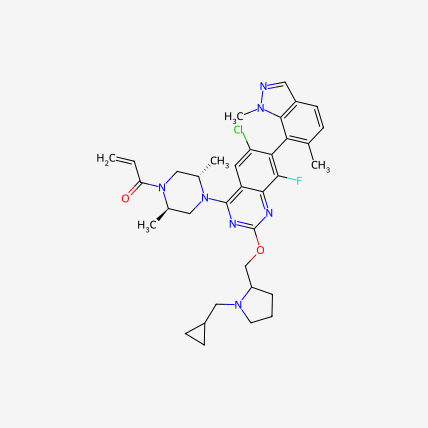 C=CC(=O)N1C[C@H](C)N(c2nc(OCC3CCCN3CC3CC3)nc3c(F)c(-c4c(C)ccc5cnn(C)c45)c(Cl)cc23)C[C@H]1C